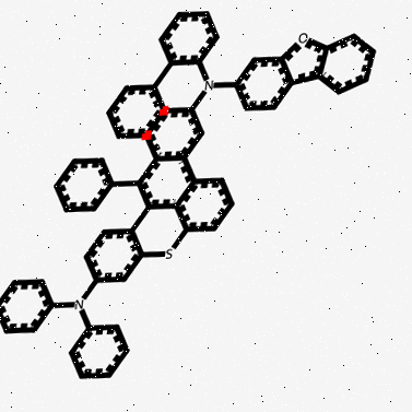 c1ccc(-c2ccccc2N(c2ccc3c(c2)oc2ccccc23)c2ccc3c(-c4ccccc4)c4c5c(cccc5c3c2)Sc2cc(N(c3ccccc3)c3ccccc3)ccc2-4)cc1